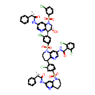 C[C@H](C(=O)Nc1cnc2c(c1)N(S(=O)(=O)c1ccc(C3CCCN(S(=O)(=O)c4ccc(C5c6ncc(NC(=O)[C@@H](C)c7ccccc7)cc6N(S(=O)(=O)c6cccc(Cl)c6)C[C@H]5O)c(Cl)c4)c4cc(NC(=O)c5c(Cl)cccc5Cl)cnc43)c(Cl)c1)CCCC2)c1ccccc1